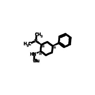 CN(C)[C@H]1C[C@@H](c2ccccc2)CC[C@@H]1NC(C)(C)C